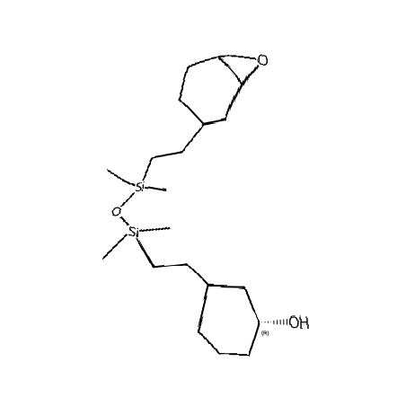 C[Si](C)(CCC1CCC2OC2C1)O[Si](C)(C)CCC1CCC[C@@H](O)C1